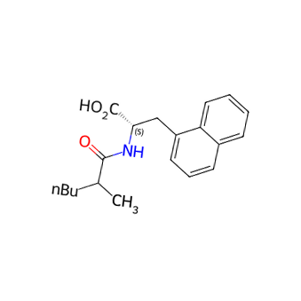 CCCCC(C)C(=O)N[C@@H](Cc1cccc2ccccc12)C(=O)O